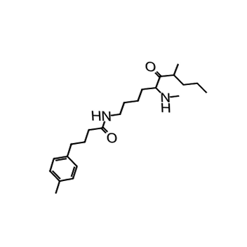 CCCC(C)C(=O)C(CCCCNC(=O)CCCc1ccc(C)cc1)NC